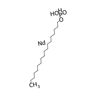 CCCCCCCCCCCCCCCCCCO[PH](=O)O.[Nd]